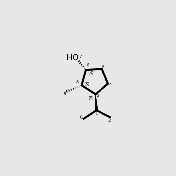 CC(C)[C@@H]1CC[C@@H](O)[C@H]1C